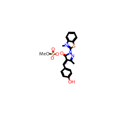 CC1=NN(c2sc3ccccc3[n+]2C)C(=O)/C1=C/c1ccc(O)cc1.COS(=O)(=O)[O-]